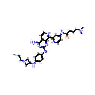 CN(C)CC=CC(=O)Nc1ccnc(-c2nccc3c(N)nc(Nc4ccc(NC5CN(CCF)C5)cc4)nc23)c1